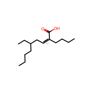 CCCC/C(=C/CC(CC)CCCC)C(=O)O